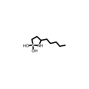 CCCCCC1CCS(O)(O)N1